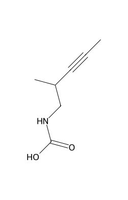 CC#CC(C)CNC(=O)O